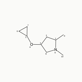 CC1CC(OC2CC2)CN1C